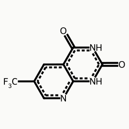 O=c1[nH]c(=O)c2cc(C(F)(F)F)cnc2[nH]1